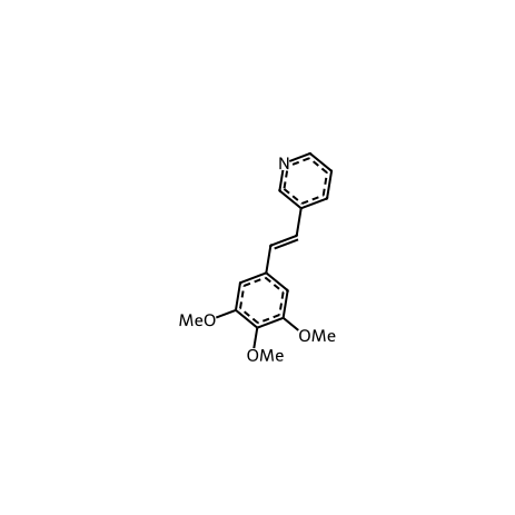 COc1cc(C=Cc2cccnc2)cc(OC)c1OC